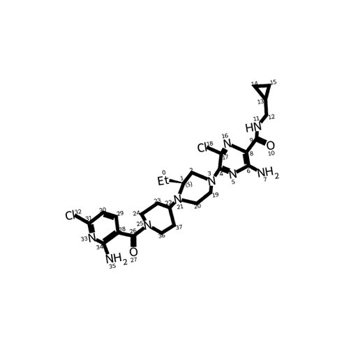 CC[C@H]1CN(c2nc(N)c(C(=O)NCC3CC3)nc2Cl)CCN1C1CCN(C(=O)c2ccc(Cl)nc2N)CC1